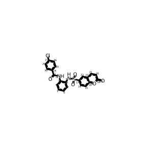 O=C(Nc1ccccc1NS(=O)(=O)c1ccc2oc(=O)ccc2c1)c1ccc(Cl)cc1